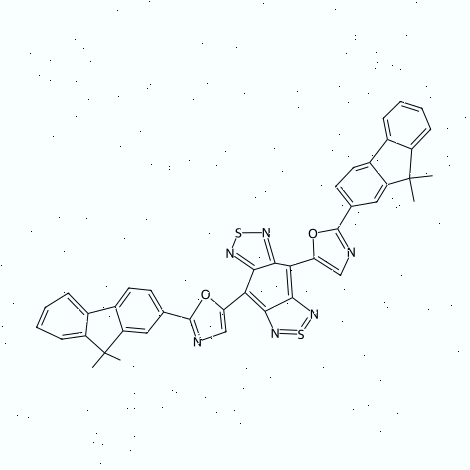 CC1(C)c2ccccc2-c2ccc(-c3ncc(-c4c5c(c(-c6cnc(-c7ccc8c(c7)C(C)(C)c7ccccc7-8)o6)c6nsnc46)N=S=N5)o3)cc21